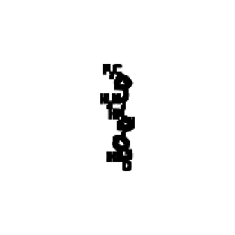 NC(CNc1ncc(-c2ccc3[nH]c(=O)sc3c2)s1)Cc1ccc(C(F)(F)F)cc1